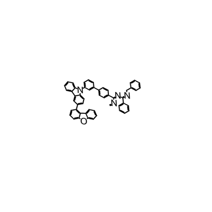 C=N/C(=N\C(=N/Cc1ccccc1)c1ccccc1)c1ccc(-c2cccc(-n3c4ccccc4c4cc(-c5cccc6oc7ccccc7c56)ccc43)c2)cc1